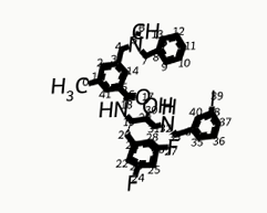 Cc1cc(CN(C)Cc2ccccc2)cc(C(=O)N[C@@H](Cc2cc(F)cc(F)c2)[C@@H](O)CNCc2cccc(I)c2)c1